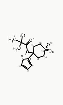 CCC(C)(C)C(=O)OC1(c2cccs2)CCS(=O)(=O)CC1